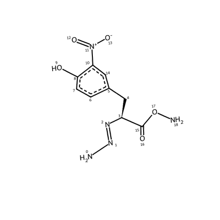 NN=N[C@@H](Cc1ccc(O)c([N+](=O)[O-])c1)C(=O)ON